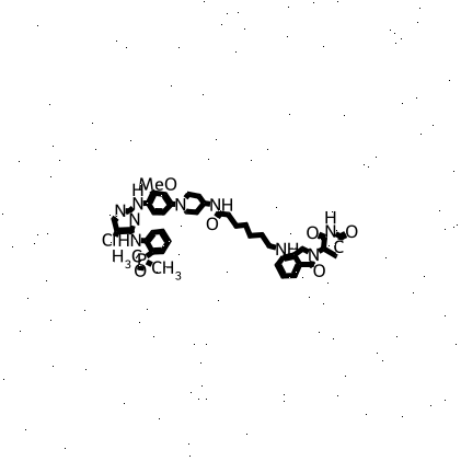 COc1cc(N2CCC(NC(=O)CCCCCCNc3cccc4c3CN(C3CCC(=O)NC3=O)C4=O)CC2)ccc1Nc1ncc(Cl)c(Nc2ccccc2P(C)(C)=O)n1